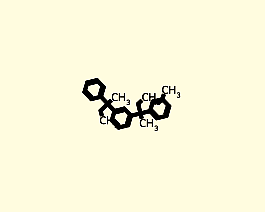 CCC(C)(c1ccccc1)c1cccc(C(C)(CC)c2cccc(C)c2)c1